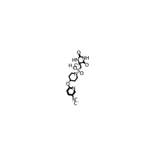 [C-]#[N+]c1ccc(OC2CCN(S(=O)(=O)C[C@@]3(C)NC(=O)NC3=O)CC2)nc1